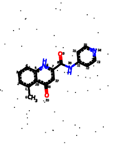 Cc1cccc2[nH]c(C(=O)Nc3ccncc3)cc(=O)c12